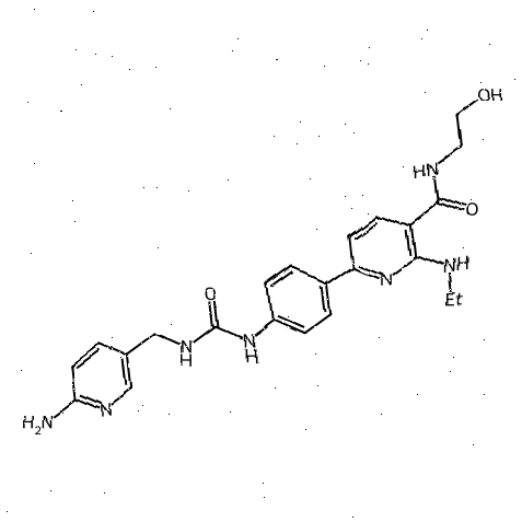 CCNc1nc(-c2ccc(NC(=O)NCc3ccc(N)nc3)cc2)ccc1C(=O)NCCO